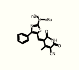 CCCCN(CCCC)c1nc(-c2ccccc2)c(/C=C2\C(=O)NC(=O)C(C#N)=C2C)s1